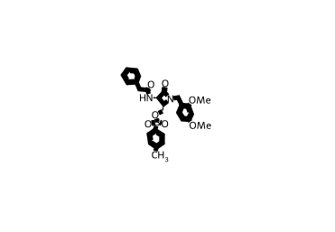 COc1ccc(CN2C(=O)[C@@H](NC(=O)Cc3ccccc3)[C@H]2COS(=O)(=O)c2ccc(C)cc2)c(OC)c1